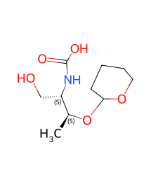 C[C@H](OC1CCCCO1)[C@H](CO)NC(=O)O